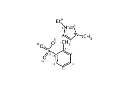 CC[n+]1ccn(C)c1.Cc1ccccc1S(=O)(=O)[O-]